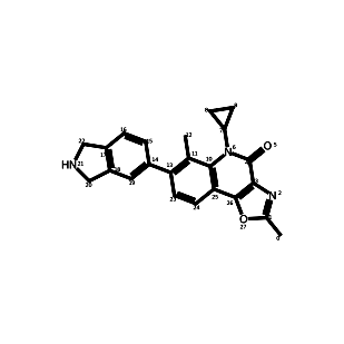 Cc1nc2c(=O)n(C3CC3)c3c(C)c(-c4ccc5c(c4)CNC5)ccc3c2o1